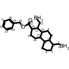 BCC1CCCC2C1CCC1C(CB)C(C(=O)OCc3ccccc3)CCC21